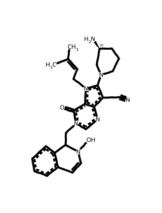 CC(C)=CCn1c(N2CCC[C@H](N)C2)c(C#N)c2ncn(CC3c4ccccc4C=CN3O)c(=O)c21